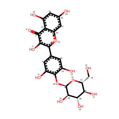 O=c1c(O)c(-c2cc(O)c(O[C@H]3O[C@H](CO)[C@@H](O)[C@H](O)[C@H]3O)c(O)c2)oc2cc(O)cc(O)c12